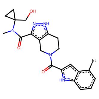 CCc1cccc2[nH]c(C(=O)N3CCc4[nH]nc(C(=O)N(C)C5(CO)CC5)c4C3)cc12